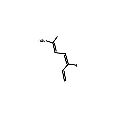 C=C/C(Cl)=C\C=C(/C)CCCC